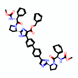 COC(=O)N[C@@H](C(=O)N1CCC[C@H]1c1ncc(-c2ccc(-c3ccc(-c4[nH]c([C@@H]5CCCN5C(=O)[C@H](NC(=O)OC)c5ccccc5)nc4C(=O)OCc4ccccc4)cc3)cc2)[nH]1)c1ccccc1